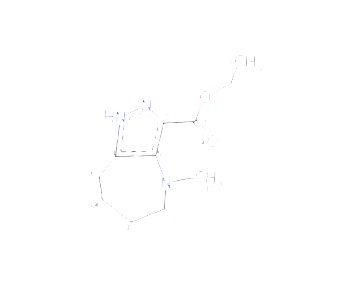 CCOC(=O)c1n[nH]c2c1N(C)CCCC2